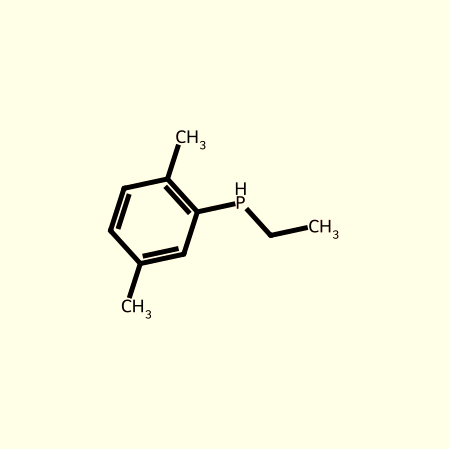 CCPc1cc(C)ccc1C